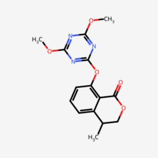 COc1nc(OC)nc(Oc2cccc3c2C(=O)OCC3C)n1